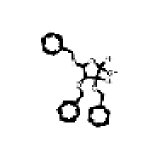 CCC1(O)OC(OCc2ccccc2)C(OCc2ccccc2)C1(CC)OCc1ccccc1